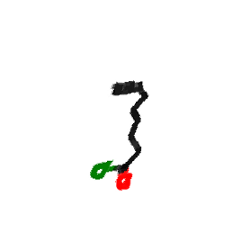 CC(C)(C)CCCCCC(=O)Cl